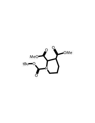 COC(=O)C1CCCN(C(=O)OC(C)(C)C)C1C(=O)OC